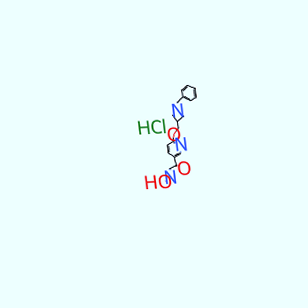 Cl.O=C(C=NO)c1ccc(OCC2CN(Cc3ccccc3)C2)nc1